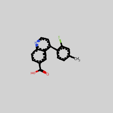 Cc1ccc(-c2ccnc3ccc(C(=O)O)cc23)c(F)c1